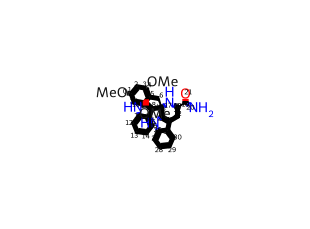 COc1cc(OC)c(C[C@@]2(c3c[nH]c4ccccc34)N[C@@H](C(N)=O)Cc3c2[nH]c2ccccc32)c(OC)c1